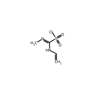 C=CN/C(=N\C)S(=O)(=O)Cl